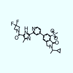 Cc1nc(-c2cc(-c3cc4c(c(S(C)(=O)=O)c3)C(=O)N(C(C)C3CC3)C4)ccn2)[nH]c1C(=O)N1CC(F)(F)C1